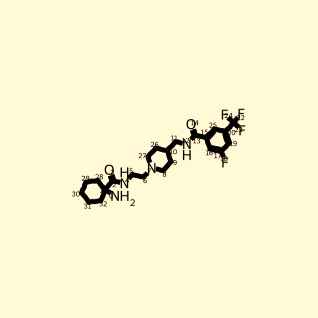 NC1(C(=O)NCCN2CCC(CNC(=O)c3cc(F)cc(C(F)(F)F)c3)CC2)CCCCC1